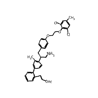 CC(=O)OCCc1ccccc1-c1ccc(C(CN)Cc2ccc(OCCOc3c(Cl)cc(C)cc3Cl)cc2)c(C)c1